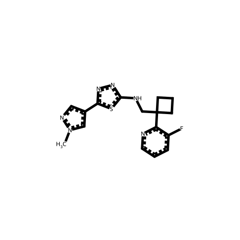 Cn1cc(-c2nnc(NCC3(c4ncccc4F)CCC3)s2)cn1